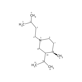 CC(C)CCN1CC[C@@H](C)C(C(C)C)C1